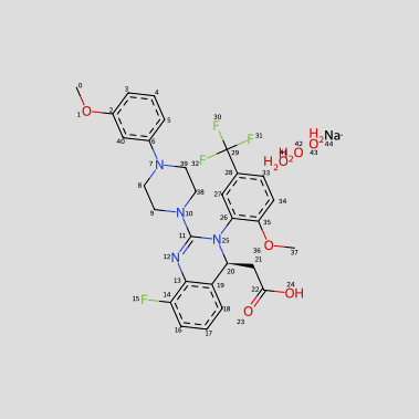 COc1cccc(N2CCN(C3=Nc4c(F)cccc4[C@H](CC(=O)O)N3c3cc(C(F)(F)F)ccc3OC)CC2)c1.O.O.O.[Na]